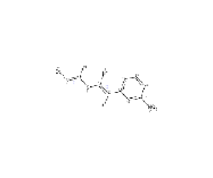 CC/C=C(\C)S/C(Br)=C(\C)c1cccc([N+](=O)[O-])c1